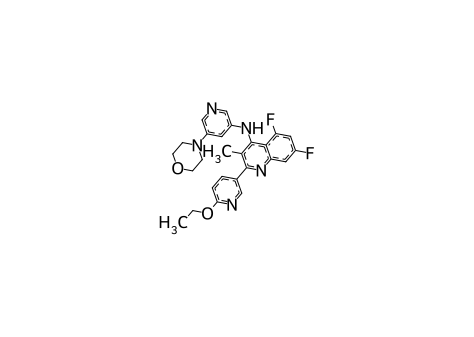 CCOc1ccc(-c2nc3cc(F)cc(F)c3c(Nc3cncc(N4CCOCC4)c3)c2C)cn1